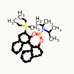 CCS(C)(CC)c1cc2ccccc2c2c1op(N(C(C)C)C(C)C)oc1ccc3ccccc3c12